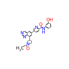 C=CC(=O)N1CCC(c2cc(-c3ccc(C(=O)Nc4cccc(O)c4)nc3)cc3cncnc23)C1